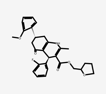 COc1ccccc1[C@H]1CC(=O)C2=C(C1)NC(C)=C(C(=O)OCC1CCCO1)[C@H]2c1ccccc1F